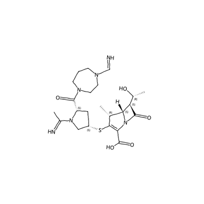 CC(=N)N1C[C@@H](SC2=C(C(=O)O)N3C(=O)[C@H]([C@@H](C)O)[C@H]3[C@H]2C)C[C@H]1C(=O)N1CCCN(C=N)CC1